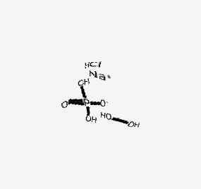 Cl.O=P([O-])(O)O.OO.[Na+]